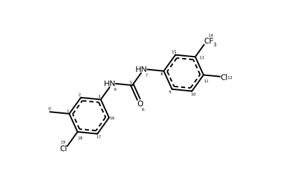 Cc1cc(NC(=O)Nc2ccc(Cl)c(C(F)(F)F)c2)ccc1Cl